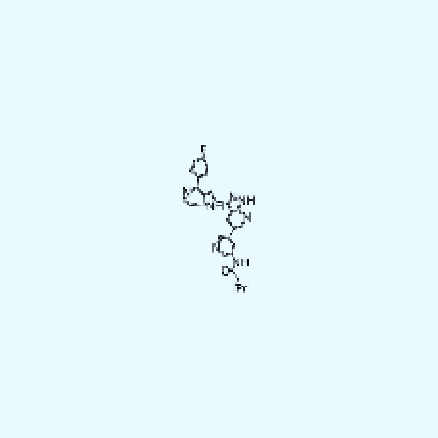 CC(C)CC(=O)Nc1cncc(-c2cnc3[nH]nc(-c4cc5c(-c6ccc(F)cc6)nccc5[nH]4)c3c2)c1